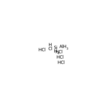 Cl.Cl.Cl.Cl.Cl.[AlH3].[SiH4]